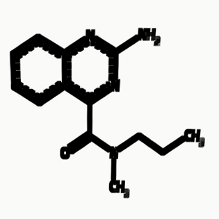 CCCN(C)C(=O)c1nc(N)nc2ccccc12